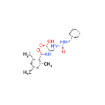 Cc1cc(C)c(C(=O)NC(CNC(=O)NCc2ccccc2)C(=O)O)c(C)c1